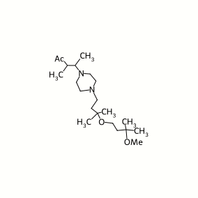 COC(C)(C)CCOC(C)(C)CCN1CCN(C(C)C(C)C(C)=O)CC1